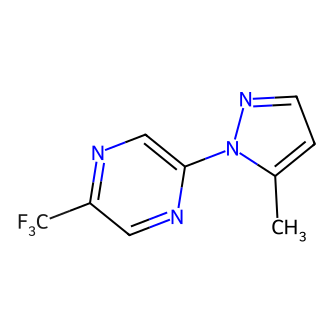 Cc1ccnn1-c1cnc(C(F)(F)F)cn1